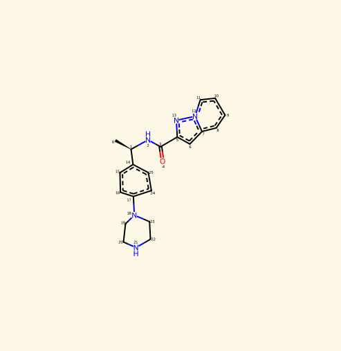 C[C@@H](NC(=O)c1cc2ccccn2n1)c1ccc(N2CCNCC2)cc1